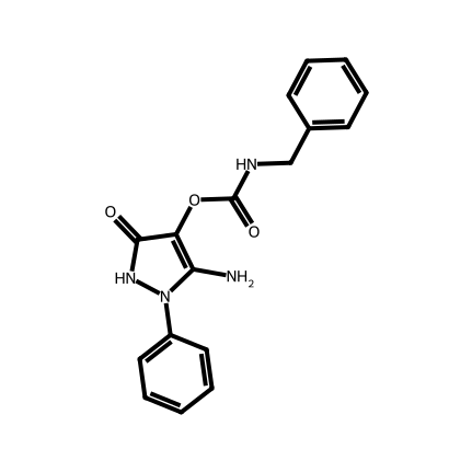 Nc1c(OC(=O)NCc2ccccc2)c(=O)[nH]n1-c1ccccc1